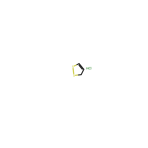 C1=CSSC1.Cl